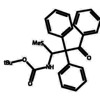 CSC(NC(=O)OC(C)(C)C)C(C(=O)c1ccccc1)(c1ccccc1)c1ccccc1